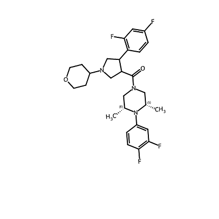 C[C@@H]1CN(C(=O)C2CN(C3CCOCC3)CC2c2ccc(F)cc2F)C[C@H](C)N1c1ccc(F)c(F)c1